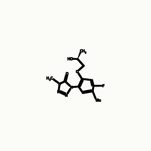 C[C@@H](O)COc1cc(F)c(C(C)(C)C)cc1-n1nnn(C)c1=O